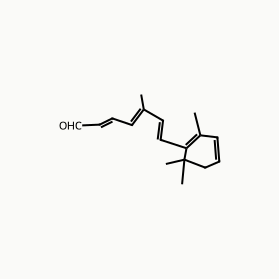 CC(C=CC1=C(C)C=CCC1(C)C)=CC=CC=O